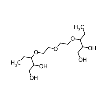 CCC(OCCOCCOC(CC)C(O)CO)C(O)CO